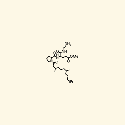 COC(=O)CCC(NC(=O)C1CCCN1C(=O)CC(C)CCCC(C)CCCC(C)C)C(=O)NCCN